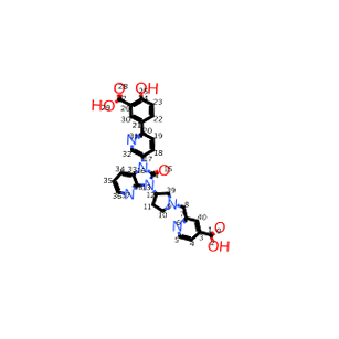 O=C(O)c1ccnc(CN2CCC(n3c(=O)n(-c4ccc(-c5ccc(O)c(C(=O)O)c5)nc4)c4cccnc43)C2)c1